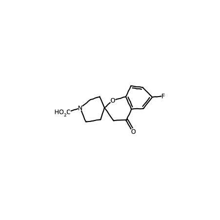 O=C1CC2(CCN(C(=O)O)CC2)Oc2ccc(F)cc21